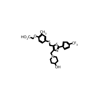 Cc1cc(SCc2sc(-c3ccc(C(F)(F)F)cc3)nc2CN2CCC(O)CC2)ccc1OCC(=O)O